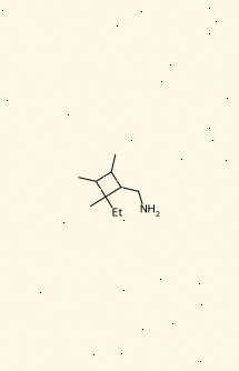 CCC1(C)C(C)C(C)C1CN